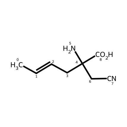 CC=CCC(N)(CC#N)C(=O)O